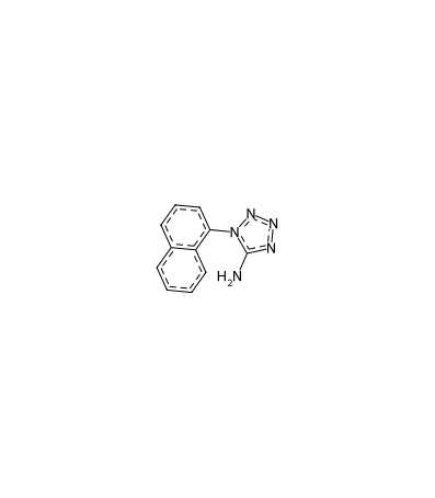 Nc1nnnn1-c1cccc2ccccc12